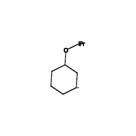 CC(C)OC1C[CH]CCC1